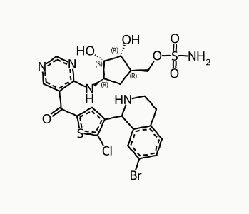 NS(=O)(=O)OC[C@H]1C[C@@H](Nc2ncncc2C(=O)c2cc(C3NCCc4ccc(Br)cc43)c(Cl)s2)[C@H](O)[C@@H]1O